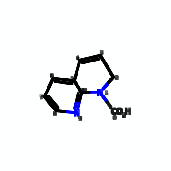 O=C(O)N1CC=Cc2cccnc21